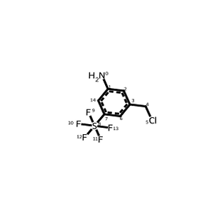 Nc1cc(CCl)cc(S(F)(F)(F)(F)F)c1